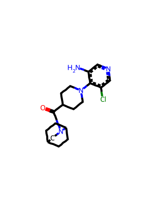 Nc1cncc(Cl)c1N1CCC(C(=O)N2CC3CCC2CC3)CC1